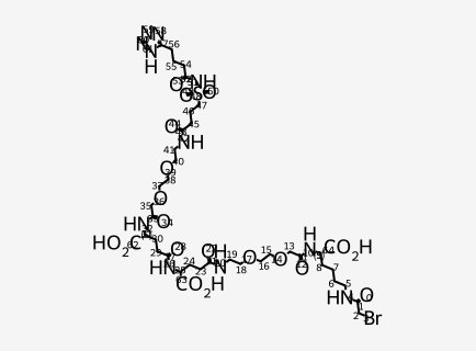 O=C(CBr)NCCCC[C@H](NC(=O)COCCOCCNC(=O)CCC(NC(=O)CC[C@H](NC(=O)COCCOCCNC(=O)CCCS(=O)(=O)NC(=O)CCCc1nnn[nH]1)C(=O)O)C(=O)O)C(=O)O